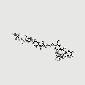 COc1cc2c(cc1OCCCC(=O)Nc1ccc(-c3cc(C(=O)NCC(C)(C)S)n(C)c3)cc1)NC(S(=O)(=O)O)[C@@H]1Cc3ccccc3N1C2=O